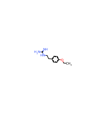 CCOc1ccc(CCNC(=N)N)cc1